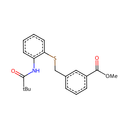 COC(=O)c1cccc(CSc2ccccc2NC(=O)C(C)(C)C)c1